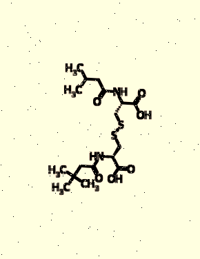 CC(C)CC(=O)N[C@@H](CSSC[C@H](NC(=O)CC(C)(C)C)C(=O)O)C(=O)O